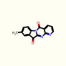 Cc1ccc2c(c1)C(=O)c1nc3ncccc3c(=O)n1-2